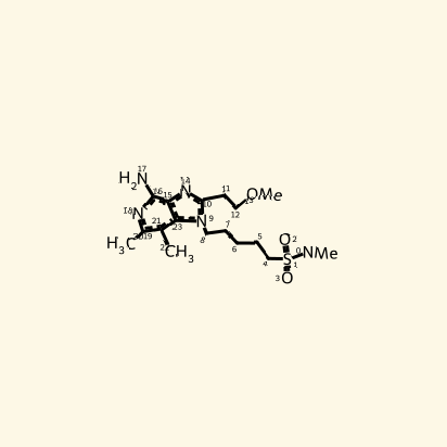 CNS(=O)(=O)CCCCCn1c(CCOC)nc2c(N)nc(C)c(C)c21